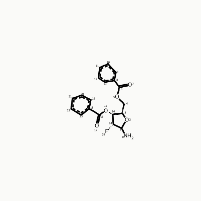 NC1O[C@H](COC(=O)c2ccccc2)[C@@H](OC(=O)c2ccccc2)[C@H]1F